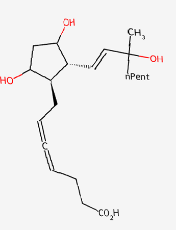 CCCCCC(C)(O)/C=C/[C@H]1C(O)CC(O)[C@@H]1CC=C=CCCC(=O)O